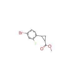 COC(=O)C1CC1c1ccc(Br)cc1F